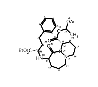 CCOC(=O)[C@H](CCc1ccccc1)NC1CCCN2CCC[C@@H](C(=O)OC(C)OC(C)=O)N2C1=O